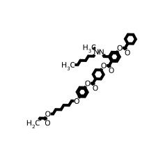 C=CC(=O)OCCCCCCOc1ccc(OC(=O)C2CCC(OC(=O)c3ccc(OC(=O)C4CCCCC4)cc3/C=N/N(C)CCCCCC)CC2)cc1